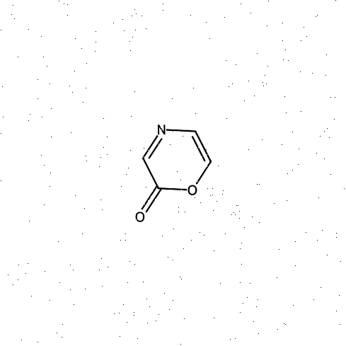 O=c1cncco1